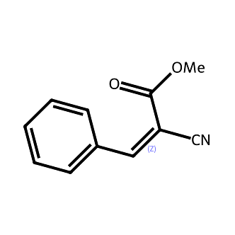 COC(=O)/C(C#N)=C\c1ccccc1